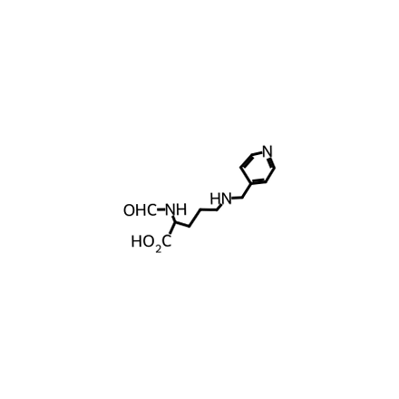 O=CNC(CCCNCc1ccncc1)C(=O)O